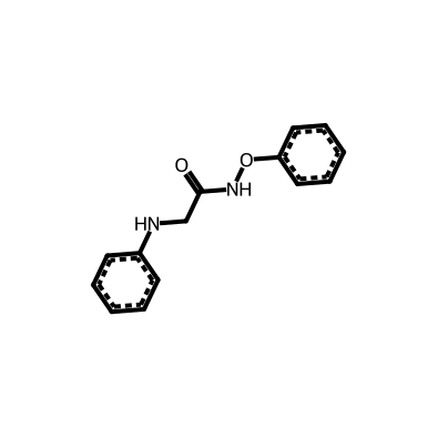 O=C(CNc1ccccc1)NOc1ccccc1